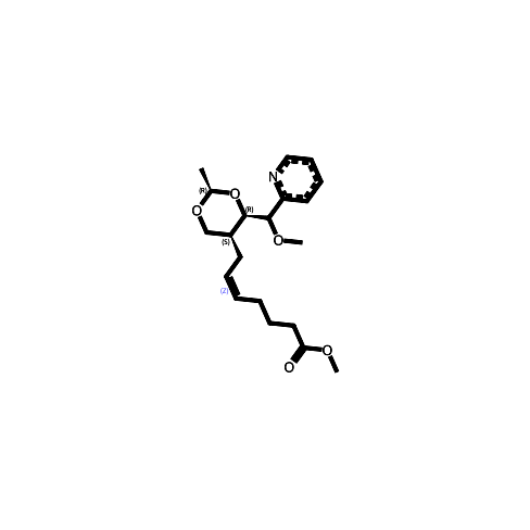 COC(=O)CCC/C=C\C[C@H]1CO[C@@H](C)O[C@H]1C(OC)c1ccccn1